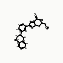 O=C1NC(CO)Cn2nc(-c3ccnc(C4CNc5ccccc5C4)c3)cc21